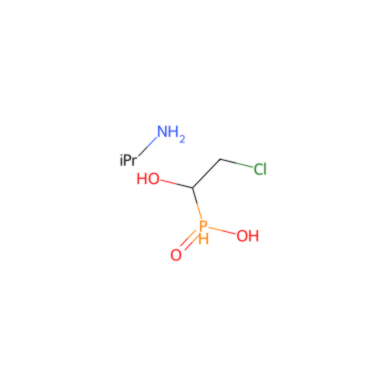 CC(C)N.O=[PH](O)C(O)CCl